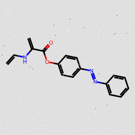 C=CNC(=C)C(=O)Oc1ccc(/N=N/c2ccccc2)cc1